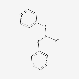 CCCN(Sc1ccccc1)Sc1ccccc1